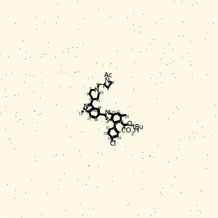 CC(=O)N1CC[C@H]1CN1CCC(c2nn(C)c3ccc(-c4nc5cc(C)c([C@H](OC(C)(C)C)C(=O)O)c(-c6ccc(Cl)cc6)c5s4)cc23)CC1